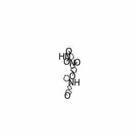 O=C1CCC(N2Cc3cc(O[C@@H]4CCCC[C@@H]4NC4CC5(CCOCC5)C4)ccc3C2=O)C(=O)N1